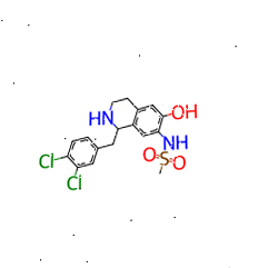 CS(=O)(=O)Nc1cc2c(cc1O)CCNC2Cc1ccc(Cl)c(Cl)c1